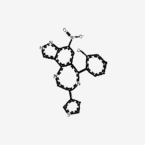 O=[N+]([O-])c1cc2c(-c3ccccc3Cl)nc(-c3ccsc3)cnc2c2cnnc12